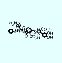 Nc1nc(C(=NOCc2ccccc2)C(=O)N[C@@H]2C(=O)N3C(OC(=O)O)=C(CSc4nc(C(=O)O)c(-c5ccc(O)c(O)c5)s4)CS[C@@H]23)cs1